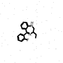 CCC1CNc2ccccc2C(c2ccccc2F)=N1